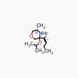 CC/C=C(/F)C1(OC(C)C)COC[C@H](C)N1